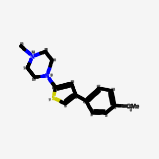 COc1ccc(-c2csc(N3CCN(C)CC3)c2)cc1